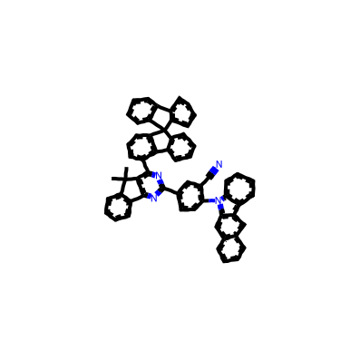 CC1(C)c2ccccc2-c2nc(-c3ccc(-n4c5ccccc5c5cc6ccccc6cc54)c(C#N)c3)nc(-c3cccc4c3-c3ccccc3C43c4ccccc4-c4ccccc43)c21